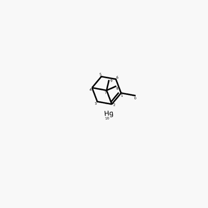 CC1=C2CC(CC1)C2(C)C.[Hg]